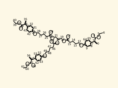 C=C(C(=O)OCC)c1ccc(OCCCCC(=O)OCC(COC(=O)CCCCOc2ccc(C(=C)C(=O)OCC)cc2)OC(=O)CCCCOc2ccc(C(=C)C(=O)OCC)cc2)cc1